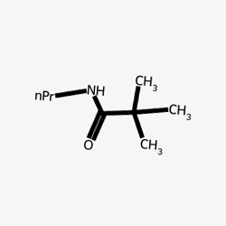 CCCNC(=O)C(C)(C)C